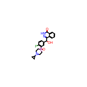 O=c1[nH]nc(C(O)c2ccc(F)c(P3(=O)CCN(C4CC4)CC3)c2)c2ccccc12